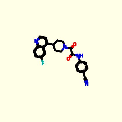 N#Cc1ccc(NC(=O)C(=O)N2CCC(c3ccnc4ccc(F)cc34)CC2)cc1